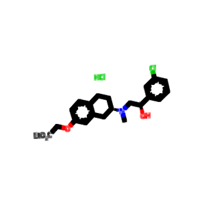 CCOC(=O)COc1ccc2c(c1)C[C@@H](N(C)C[C@H](O)c1cccc(Cl)c1)CC2.Cl